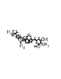 C=C1[C@H](O)CC(=CC=C2CCC[C@]3(C)[C@@H](C(C)CN4CCC(C(C)(F)F)C4)CC[C@@H]23)C[C@H]1O